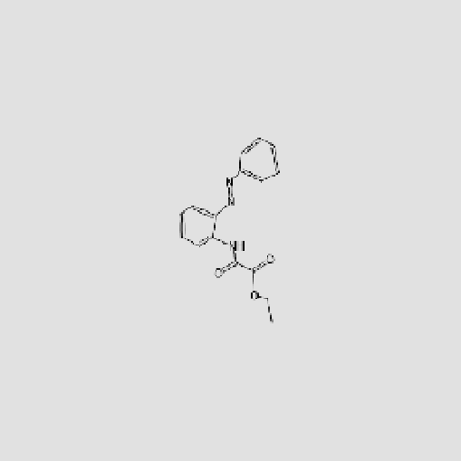 CCOC(=O)C(=O)Nc1ccccc1N=Nc1ccccc1